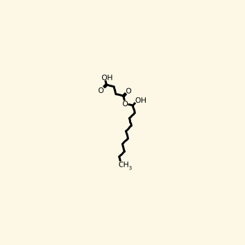 CCCCCCCCCC(O)OC(=O)CCC(=O)O